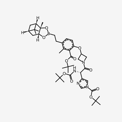 Cc1c(CCB2O[C@@H]3C[C@@H]4C[C@@H](C4(C)C)[C@]3(C)O2)ccc(OC2CN(C(=O)[C@@H](NC(=O)OC(C)(C)C)c3cn(C(=O)OC(C)(C)C)cn3)C2)c1C(=O)OC(C)(C)C